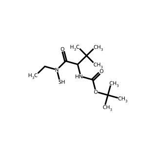 CCN(S)C(=O)C(NC(=O)OC(C)(C)C)C(C)(C)C